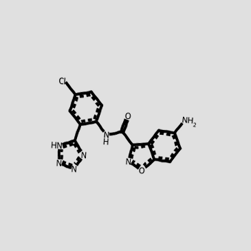 Nc1ccc2onc(C(=O)Nc3ccc(Cl)cc3-c3nnn[nH]3)c2c1